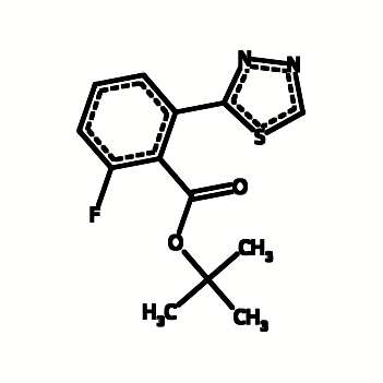 CC(C)(C)OC(=O)c1c(F)cccc1-c1nncs1